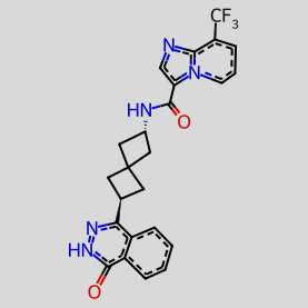 O=C(N[C@H]1CC2(C1)C[C@H](c1n[nH]c(=O)c3ccccc31)C2)c1cnc2c(C(F)(F)F)cccn12